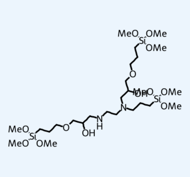 CO[Si](CCCOCC(O)CNCCN(CCC[Si](OC)(OC)OC)CC(O)COCCC[Si](OC)(OC)OC)(OC)OC